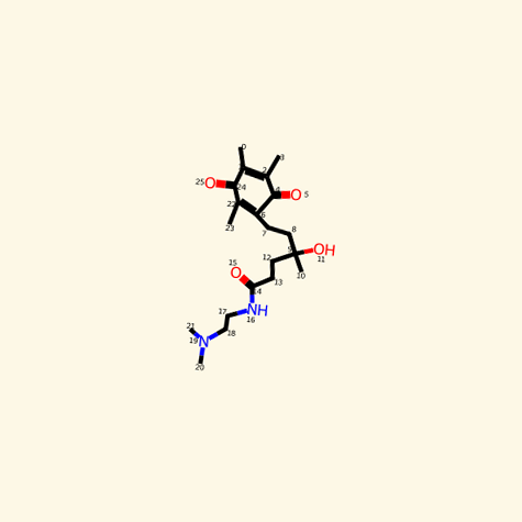 CC1=C(C)C(=O)C(CCC(C)(O)CCC(=O)NCCN(C)C)=C(C)C1=O